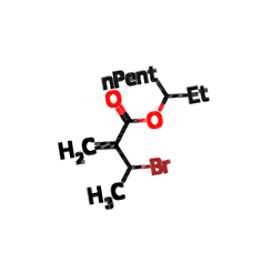 C=C(C(=O)OC(CC)CCCCC)C(C)Br